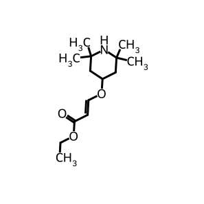 CCOC(=O)/C=C/OC1CC(C)(C)NC(C)(C)C1